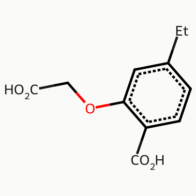 CCc1ccc(C(=O)O)c(OCC(=O)O)c1